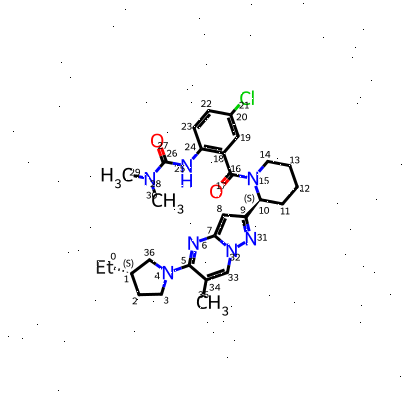 CC[C@H]1CCN(c2nc3cc([C@@H]4CCCCN4C(=O)c4cc(Cl)ccc4NC(=O)N(C)C)nn3cc2C)C1